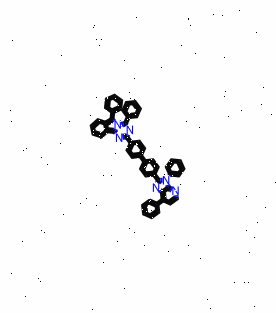 c1ccc(-c2ccnc3c2nc(-c2ccc(-c4ccc(-c5nc(-c6ccccc6)n6c(-c7ccccc7)c7ccccc7c6n5)cc4)cc2)n3-c2ccccc2)cc1